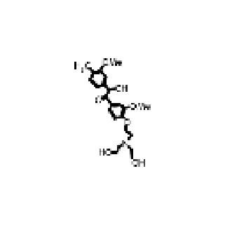 COc1cc(C(O)C(=O)c2ccc(OCCN(CCO)CCO)c(OC)c2)ccc1C